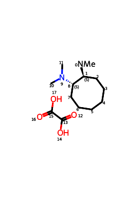 CN[C@H]1CCCCCC[C@@H]1N(C)C.O=C(O)C(=O)O